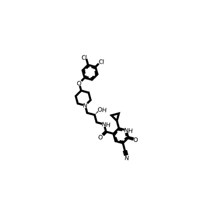 N#Cc1cc(C(=O)NC[C@@H](O)CN2CCC(Oc3ccc(Cl)c(Cl)c3)CC2)c(C2CC2)[nH]c1=O